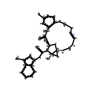 CC(=O)c1nn(CC(=O)N2[C@H]3C[C@@]4(COC/C=C/COCc5ccc(C)nc5NC3=O)C[C@@H]24)c2ccccc12